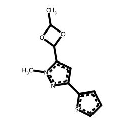 CC1OC(c2cc(-c3cccs3)nn2C)O1